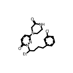 CCC(CCCc1cccc(Cl)c1)n1nc(N2CCNC(=O)C2)ccc1=O